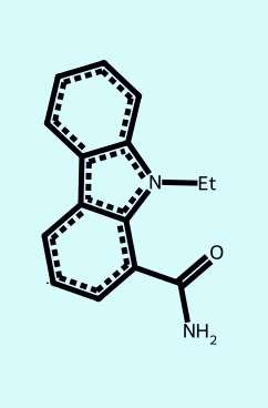 CCn1c2ccccc2c2c[c]cc(C(N)=O)c21